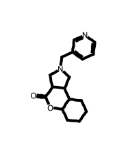 O=C1OC2CCCCC2C2CN(Cc3cccnc3)CC12